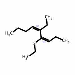 CC/C=C(SCC)\C(=C/CCC)CC